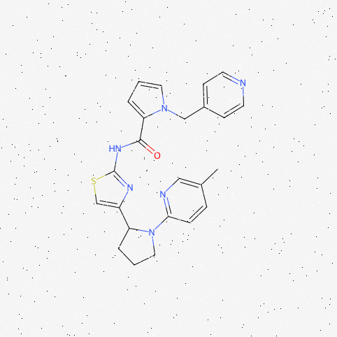 Cc1ccc(N2CCCC2c2csc(NC(=O)c3cccn3Cc3ccncc3)n2)nc1